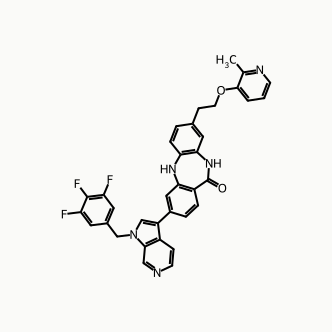 Cc1ncccc1OCCc1ccc2c(c1)NC(=O)c1ccc(-c3cn(Cc4cc(F)c(F)c(F)c4)c4cnccc34)cc1N2